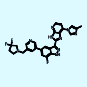 Cc1cn(-c2ccnc3[nH]c(-c4n[nH]c5c(F)cc(-c6cncc(CN7CCC(F)(F)C7)c6)cc45)nc23)cn1